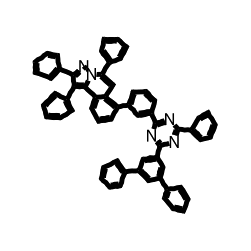 c1ccc(-c2cc(-c3ccccc3)cc(-c3nc(-c4ccccc4)nc(-c4cccc(-c5cccc6c5cc(-c5ccccc5)n5nc(-c7ccccc7)c(-c7ccccc7)c65)c4)n3)c2)cc1